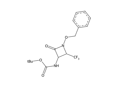 CC(C)(C)OC(=O)NC1C(=O)N(OCc2ccccc2)C1C(F)(F)F